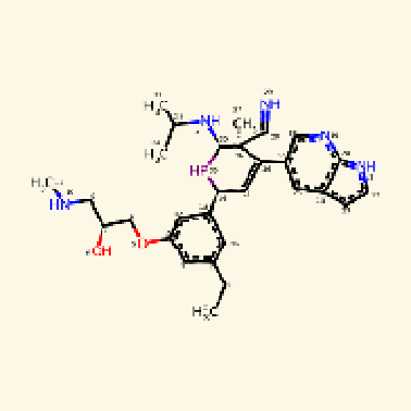 CCc1cc(OC[C@@H](O)CNC)cc([C@@H]2C=C(c3cnc4[nH]ccc4c3)[C@](C)(C=N)[C@H](NC(C)C)P2)c1